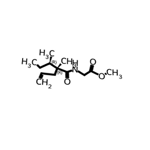 C=CC[C@@](C)(C(=O)NCC(=O)OC)[C@H](C)CC